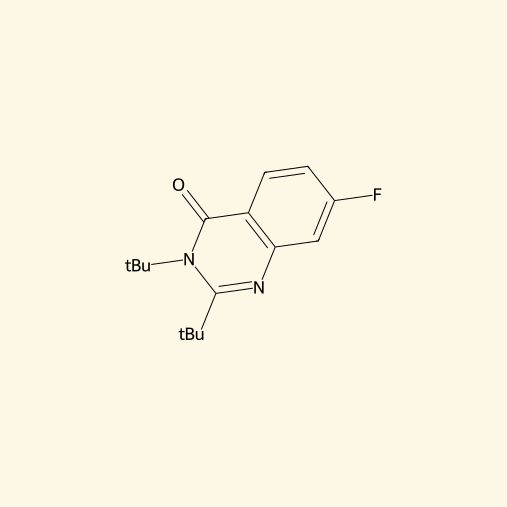 CC(C)(C)c1nc2cc(F)ccc2c(=O)n1C(C)(C)C